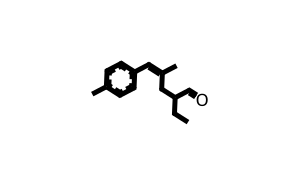 CCC(C=O)CC(C)=Cc1ccc(C)cc1